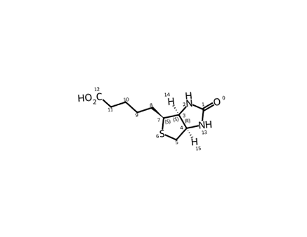 O=C1N[C@H]2[C@H](CS[C@H]2CCCCC(=[17O])[17OH])N1